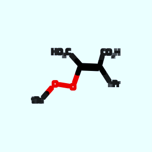 CCCC(C(=O)O)=C(OOC(C)(C)C)C(=O)O